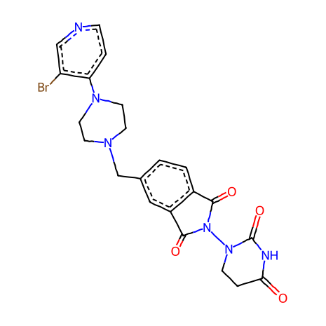 O=C1CCN(N2C(=O)c3ccc(CN4CCN(c5ccncc5Br)CC4)cc3C2=O)C(=O)N1